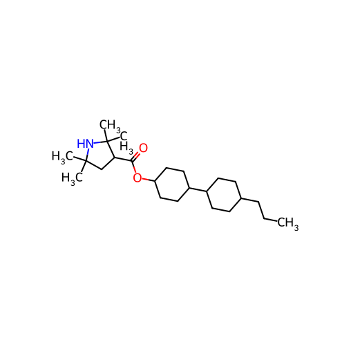 CCCC1CCC(C2CCC(OC(=O)C3CC(C)(C)NC3(C)C)CC2)CC1